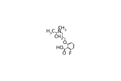 CC(C)N(C)CCCOc1cccc(F)c1C(=O)O